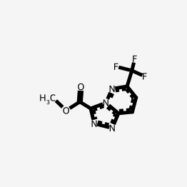 COC(=O)c1nnc2ccc(C(F)(F)F)nn12